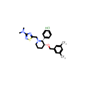 CN(C)c1nsc(CN2CCC[C@@H](OCc3cc(C(F)(F)F)cc(C(F)(F)F)c3)[C@H]2c2ccccc2)n1.Cl